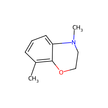 Cc1cccc2c1OCCN2C